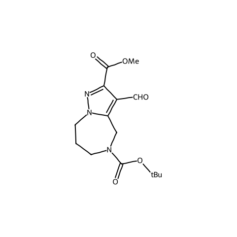 COC(=O)c1nn2c(c1C=O)CN(C(=O)OC(C)(C)C)CCC2